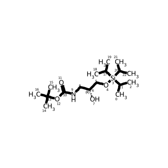 CC(C)[Si](OC[C@H](O)CNC(=O)OC(C)(C)C)(C(C)C)C(C)C